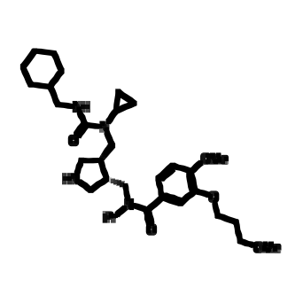 COCCCOc1cc(C(=O)N(C[C@@H]2CNC[C@H]2CN(C(=O)NCC2CCCCC2)C2CC2)C(C)C)ccc1OC